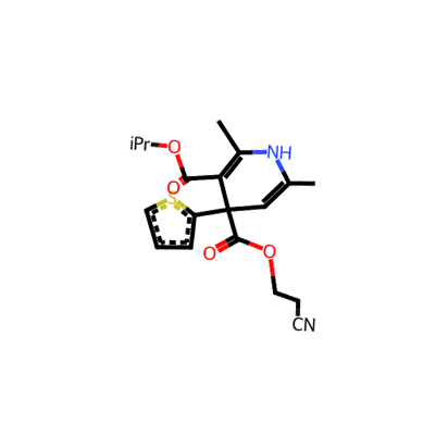 CC1=CC(C(=O)OCCC#N)(c2cccs2)C(C(=O)OC(C)C)=C(C)N1